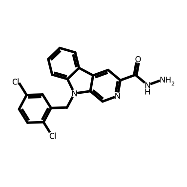 NNC(=O)c1cc2c3ccccc3n(Cc3cc(Cl)ccc3Cl)c2cn1